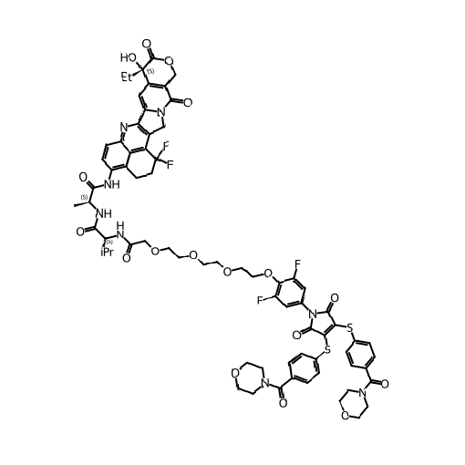 CC[C@@]1(O)C(=O)OCc2c1cc1n(c2=O)Cc2c-1nc1ccc(NC(=O)[C@H](C)NC(=O)[C@@H](NC(=O)COCCOCCOCCOc3c(F)cc(N4C(=O)C(Sc5ccc(C(=O)N6CCOCC6)cc5)=C(Sc5ccc(C(=O)N6CCOCC6)cc5)C4=O)cc3F)C(C)C)c3c1c2C(F)(F)CC3